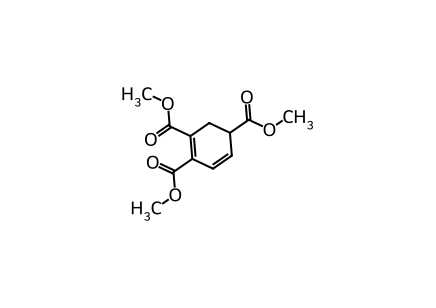 COC(=O)C1=C(C(=O)OC)CC(C(=O)OC)C=C1